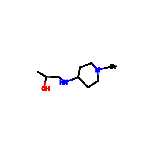 CC(O)CNC1CCN(C(C)C)CC1